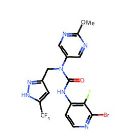 COc1ncc(N(Cc2cc(C(F)(F)F)[nH]n2)C(=O)Nc2ccnc(Br)c2F)cn1